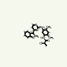 C=C(Cl)C(=O)Nc1cc(Nc2nccc(-c3c4ccccc4nn3C)n2)c(OC)cc1OC